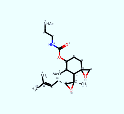 COC1C(OC(=O)NCCNC(C)=O)CC[C@]2(CO2)C1[C@@]1(C)O[C@@H]1CC=C(C)C